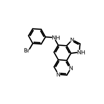 Brc1cccc(Nc2cc3cncnc3c3[nH]cnc23)c1